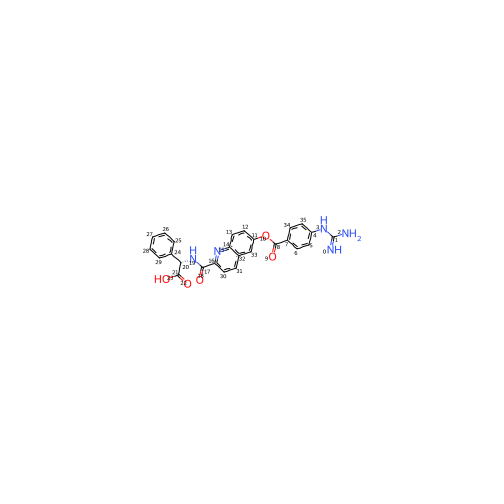 N=C(N)Nc1ccc(C(=O)Oc2ccc3nc(C(=O)N[C@H](C(=O)O)c4ccccc4)ccc3c2)cc1